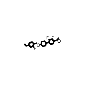 C=Cc1ccc(COC2CCC(c3ccc(C4CO4)c(F)c3F)CC2)c(F)c1